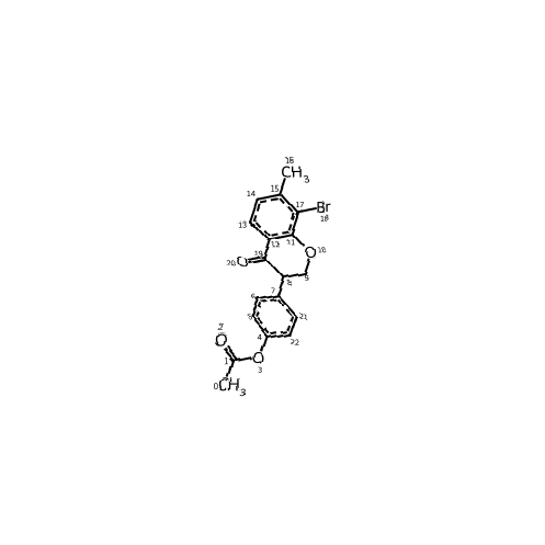 CC(=O)Oc1ccc(C2COc3c(ccc(C)c3Br)C2=O)cc1